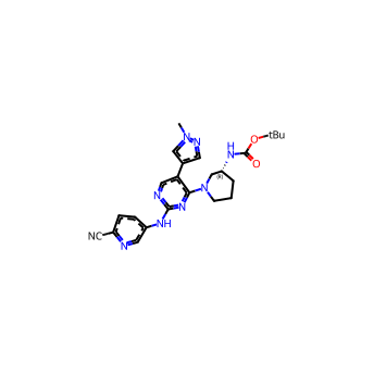 Cn1cc(-c2cnc(Nc3ccc(C#N)nc3)nc2N2CCC[C@@H](NC(=O)OC(C)(C)C)C2)cn1